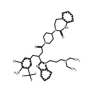 CCN(CC)CCCn1c(C(CC(=O)N2CCC(N3CCc4ccccc4NC3=O)CC2)Cc2cc(Cl)c(N)c(C(F)(F)F)c2)nc2ccccc21